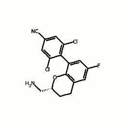 N#Cc1cc(Cl)c(-c2cc(F)cc3c2O[C@@H](CN)CC3)c(Cl)c1